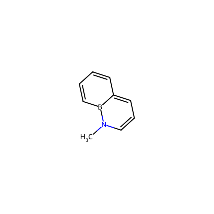 CN1C=CC=C2C=CC=CB21